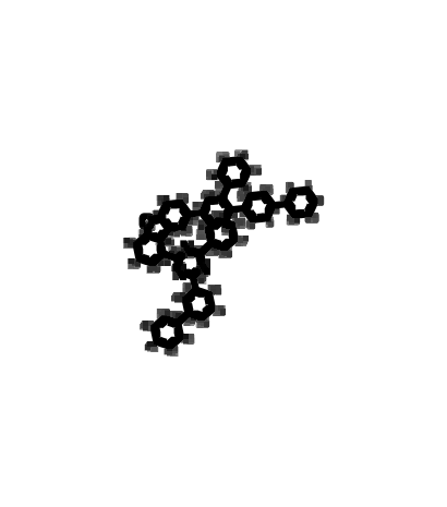 c1ccc(-c2ccc(-c3ccc(-c4ccc5oc6cccc(-c7nc(-c8ccccc8)nc(-c8cccc(-c9ccccc9)c8)n7)c6c5c4)cc3-c3ccccc3)cc2)cc1